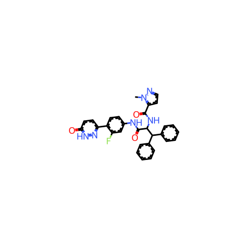 Cn1nccc1C(=O)NC(C(=O)Nc1ccc(-c2ccc(=O)[nH]n2)c(F)c1)C(c1ccccc1)c1ccccc1